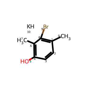 Cc1ccc(O)c(C)c1Br.[KH]